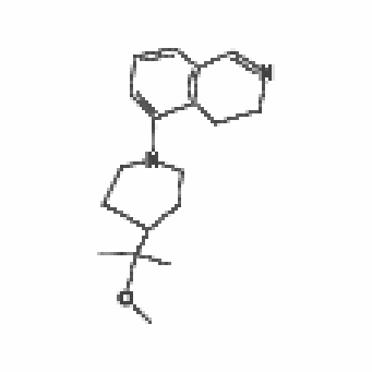 COC(C)(C)C1CCN(c2cccc3c2CCN=C3)CC1